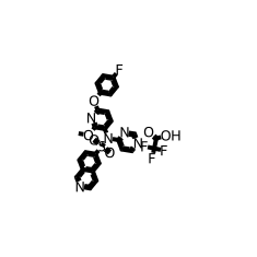 COc1nc(Oc2ccc(F)cc2)ccc1N(c1ccncn1)S(=O)(=O)c1ccc2cnccc2c1.O=C(O)C(F)(F)F